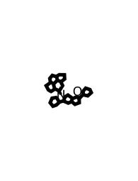 c1cc2ccc3cccc4c(-n5c6ccccc6c6cc7ccc8c9ccccc9oc8c7cc65)cc(c1)c2c34